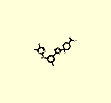 Cc1cc(Nc2ncc(Cl)c(C)n2)cc(-c2cnc(C3(O)CCC(C(=O)O)CC3)s2)c1